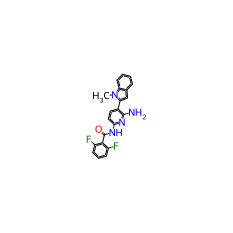 Cn1c(-c2ccc(NC(=O)c3c(F)cccc3F)nc2N)cc2ccccc21